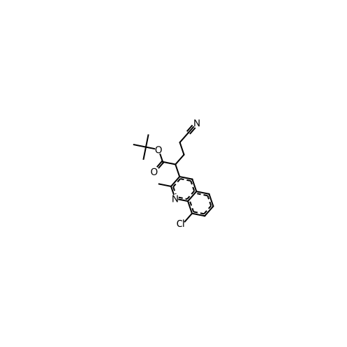 Cc1nc2c(Cl)cccc2cc1C(CCC#N)C(=O)OC(C)(C)C